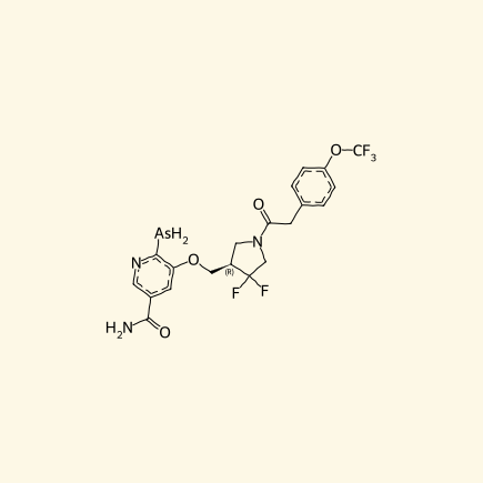 NC(=O)c1cnc([AsH2])c(OC[C@H]2CN(C(=O)Cc3ccc(OC(F)(F)F)cc3)CC2(F)F)c1